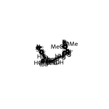 COc1cc(-c2cn(C)c(=O)c3c2CCN(C(=O)NCCOCCOCC(=O)NC(C(=O)N2C[C@H](O)C[C@H]2C(=O)NCc2ccc(-c4scnc4C)cc2)C(C)(C)C)C3)cc(OC)c1CN(C)C.O=CO